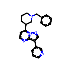 c1ccc(CN2CCCC(c3ccnc4c(-c5cccnc5)cnn34)C2)cc1